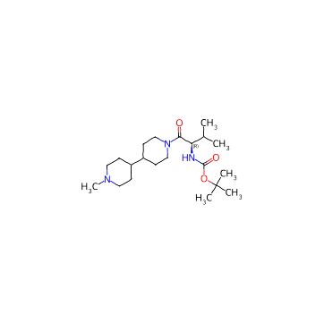 CC(C)[C@@H](NC(=O)OC(C)(C)C)C(=O)N1CCC(C2CCN(C)CC2)CC1